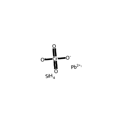 [O]=[Cr](=[O])([O-])[O-].[Pb+2].[SiH4]